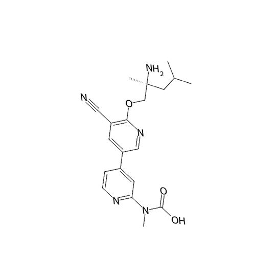 CC(C)C[C@](C)(N)COc1ncc(-c2ccnc(N(C)C(=O)O)c2)cc1C#N